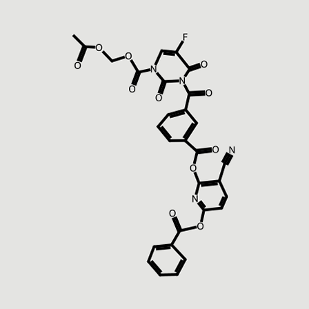 CC(=O)OCOC(=O)n1cc(F)c(=O)n(C(=O)c2cccc(C(=O)Oc3nc(OC(=O)c4ccccc4)ccc3C#N)c2)c1=O